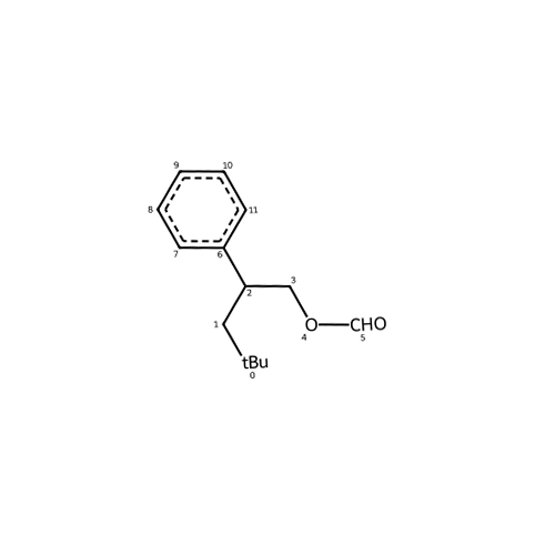 CC(C)(C)CC(COC=O)c1ccccc1